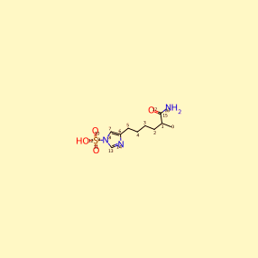 CC(CCCCc1cn(S(=O)(=O)O)cn1)C(N)=O